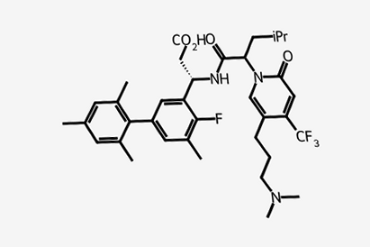 Cc1cc(C)c(-c2cc(C)c(F)c([C@H](CC(=O)O)NC(=O)C(CC(C)C)n3cc(CCCN(C)C)c(C(F)(F)F)cc3=O)c2)c(C)c1